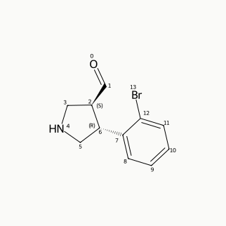 O=C[C@@H]1CNC[C@H]1c1ccccc1Br